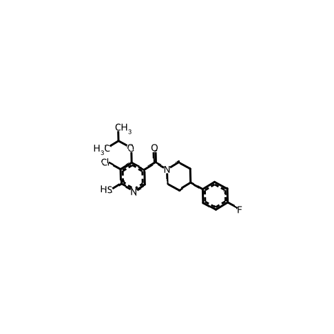 CC(C)Oc1c(C(=O)N2CCC(c3ccc(F)cc3)CC2)cnc(S)c1Cl